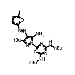 CCCCNc1nc(NCCCC)nc(-n2nc(C(C)(C)C)c(/N=N/c3ccc(C)o3)c2N)n1